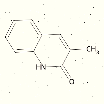 Cc1cc2c[c]ccc2[nH]c1=O